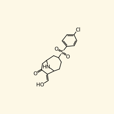 O=C1CC2CC(S(=O)(=O)c3ccc(Cl)cc3)CCC(N2)C1=CO